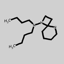 CCCCN(CCCC)N1CCC12CCCC[N]2